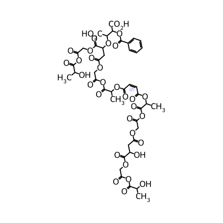 CC(O)C(=O)OC(=O)COC(=O)C(O)CC(=O)OCC(=O)OC(=O)C(C)OC(=O)/C=C\C(=O)OC(C)C(=O)OC(=O)COC(=O)CC(OC(C(=O)O)C(OC(=O)c1ccccc1)C(=O)O)C(=O)OCC(=O)OC(=O)C(C)O